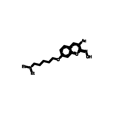 CCN(CC)CCCCCOc1ccc2cc(C(C)=O)c(=NO)oc2c1